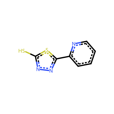 Sc1nnc(-c2ccccn2)s1